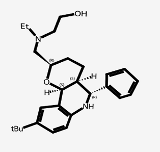 CCN(CCO)C[C@H]1CC[C@@H]2[C@H](O1)c1cc(C(C)(C)C)ccc1N[C@H]2c1ccccc1